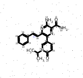 CC(C)n1cc(-c2nc(C(N)=O)c(N)nc2/C=C/c2ccccc2)ccc1=O